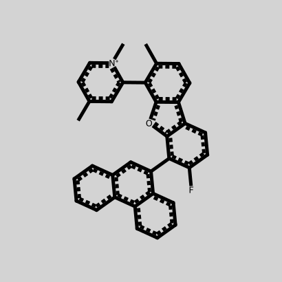 Cc1cc[n+](C)c(-c2c(C)ccc3c2oc2c(-c4cc5ccccc5c5ccccc45)c(F)ccc23)c1